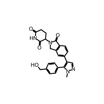 Cn1ncc(-c2ccc3c(c2)CN(C2CCC(=O)NC2=O)C3=O)c1-c1ccc(CO)cc1